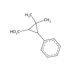 CC1(C)C(C(=O)O)C1c1ccccc1